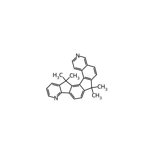 CC1(C)c2ccc3c(c2-c2c1ccc1cnccc21)C(C)(C)c1cccnc1-3